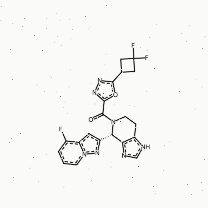 O=C(c1nnc(C2CC(F)(F)C2)o1)N1CCc2[nH]cnc2[C@@H]1c1cc2c(F)cccn2n1